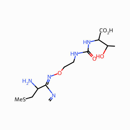 C=N/C(=N\OCCNC(=O)NC(C(=O)O)C(C)O)C(N)CSC